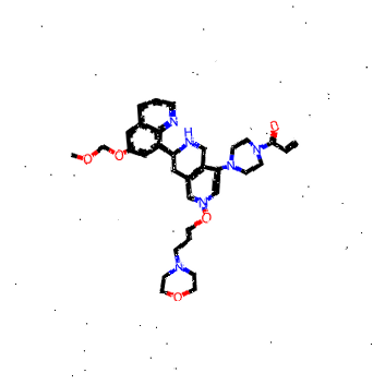 C=CC(=O)N1CCN(C2=CN(OCCCN3CCOCC3)CC3=C2CNC(c2cc(OCOC)cc4cccnc24)C3)CC1